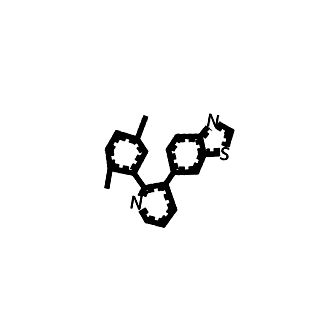 Cc1ccc(C)c(-c2ncccc2-c2ccc3ncsc3c2)c1